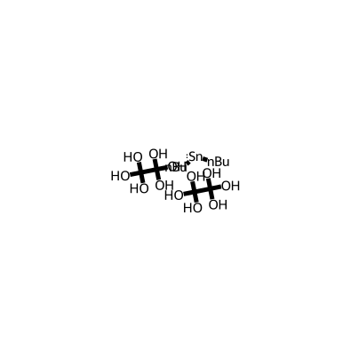 CCC[CH2][Sn][CH2]CCC.OC(O)(O)C(O)(O)O.OC(O)(O)C(O)(O)O